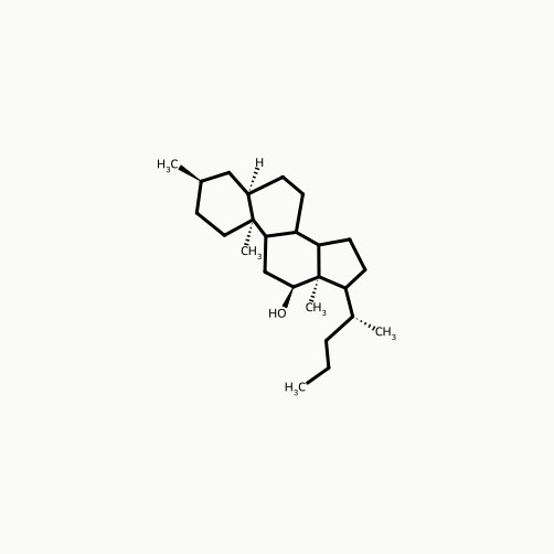 CCC[C@@H](C)C1CCC2C3CC[C@@H]4C[C@H](C)CC[C@]4(C)C3C[C@H](O)[C@@]21C